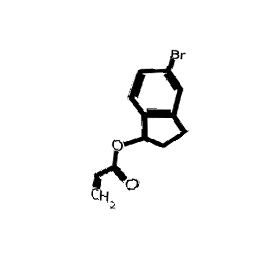 C=CC(=O)OC1CCc2cc(Br)ccc21